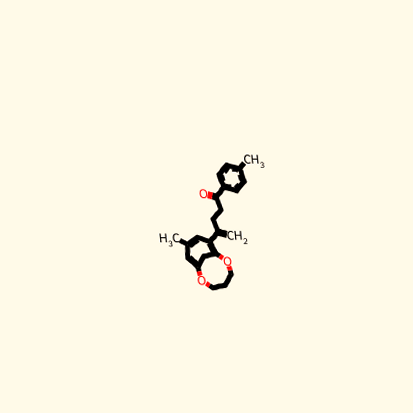 C=C(CCC(=O)c1ccc(C)cc1)C1=C2CC(=CC(C)=C1)OCCCO2